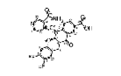 CN1C(=O)C(Cc2ccc(F)c(F)c2)C(=O)c2cc(C(=O)O)ccc21.NC(=O)c1cccnc1